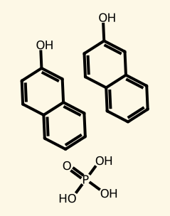 O=P(O)(O)O.Oc1ccc2ccccc2c1.Oc1ccc2ccccc2c1